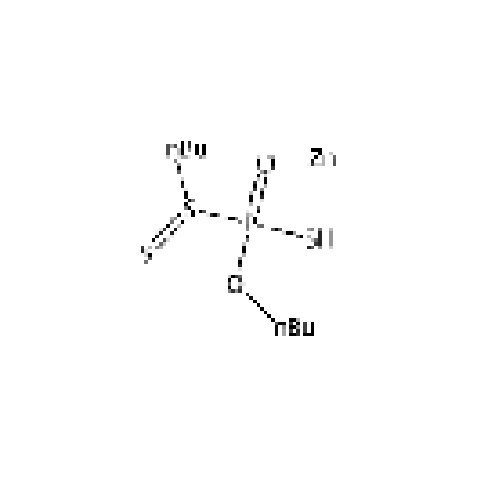 CCCCOP(=O)(S)S(=S)CCCC.[Zn]